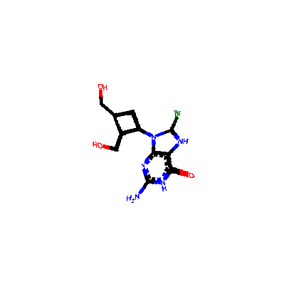 Nc1nc2c(c(=O)[nH]1)NC(Br)N2C1CC(CO)C1CO